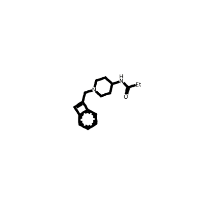 CCC(=O)NC1CCN(CC2=Cc3ccccc32)CC1